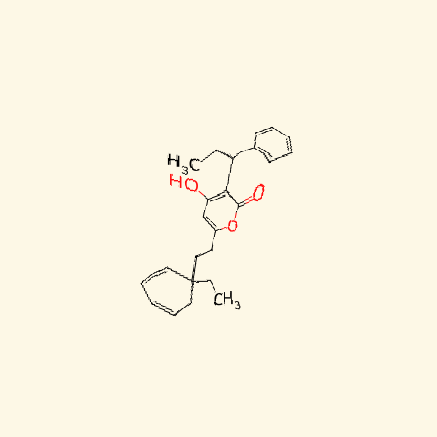 CCC(c1ccccc1)c1c(O)cc(CCC2(CC)C=CC=CC2)oc1=O